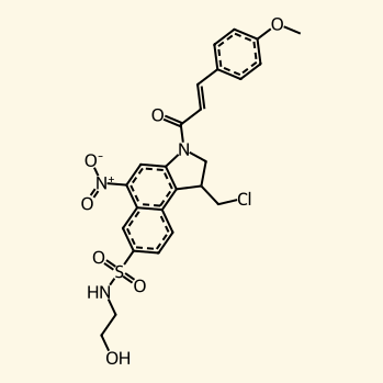 COc1ccc(C=CC(=O)N2CC(CCl)c3c2cc([N+](=O)[O-])c2cc(S(=O)(=O)NCCO)ccc32)cc1